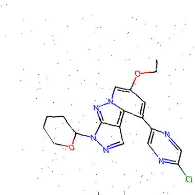 CCOc1cc(-c2cnc(Cl)cn2)c2c3cnn(C4CCCCO4)c3nn2c1